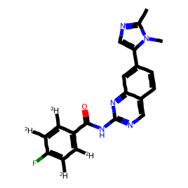 [2H]c1c([2H])c(C(=O)Nc2ncc3ccc(-c4cnc(C)n4C)cc3n2)c([2H])c([2H])c1F